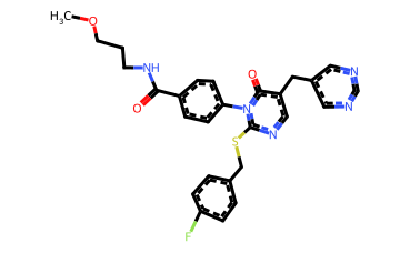 COCCCNC(=O)c1ccc(-n2c(SCc3ccc(F)cc3)ncc(Cc3cncnc3)c2=O)cc1